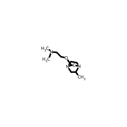 CC1CN2CCN1CC2OCCN(C)C